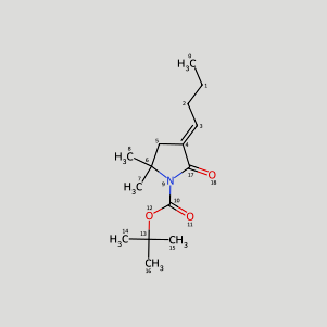 CCC/C=C1\CC(C)(C)N(C(=O)OC(C)(C)C)C1=O